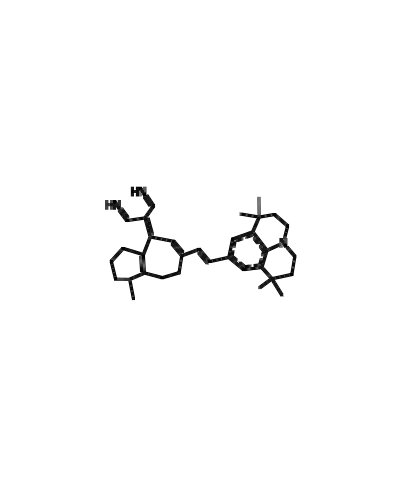 CC1CCCC2=C1CCC(/C=C/c1cc3c4c(c1)C(C)(C)CCN4CCC3(C)C)=CC2=C(C=N)C=N